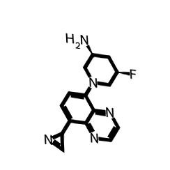 N[C@H]1C[C@@H](F)CN(c2ccc(C3C=N3)c3nccnc23)C1